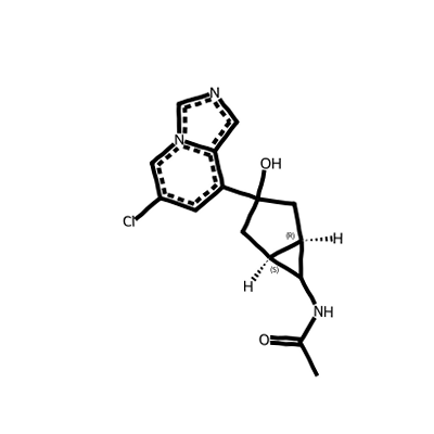 CC(=O)NC1[C@H]2CC(O)(c3cc(Cl)cn4cncc34)C[C@@H]12